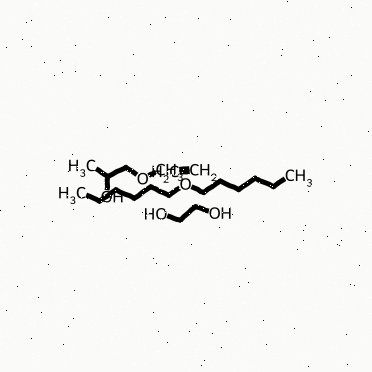 C=C.CCCCCCOCCCCCC.COCC(C)O.OCCO